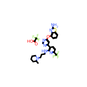 CC1CCCCN1CCCNc1nc(C(F)(F)F)ccc1-c1cc(Oc2cccc3sc(N)nc23)ncn1.O=C(O)C(F)(F)F